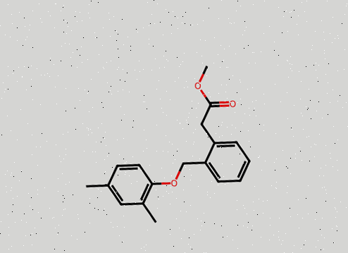 COC(=O)Cc1ccccc1COc1ccc(C)cc1C